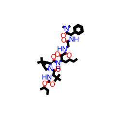 CCCCC(NC(=O)[C@@H]1C2C(CN1C(=O)[C@@H](NC(=O)OC(C)CC)C(C)(C)C)C2(C)C)C(=O)C(=O)NCC(=O)N[C@H](C(=O)N(C)C)c1ccccc1